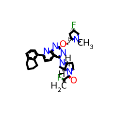 C=C(F)C(=O)N1CC[C@@H]2[C@H]1CN2c1nc(OC[C@@H]2C[C@@H](F)CN2C)nc2nc(-c3cccc4c3CCCC4)ccc12